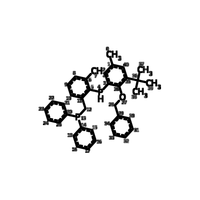 Cc1cc(Pc2c(C)cccc2CP(c2ccccc2)c2ccccc2)c(OCc2ccccc2)c(C(C)(C)C)c1